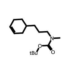 CN(CCCC1CC=CCC1)C(=O)OC(C)(C)C